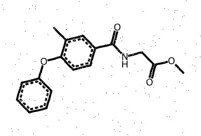 COC(=O)CNC(=O)c1ccc(Oc2ccccc2)c(C)c1